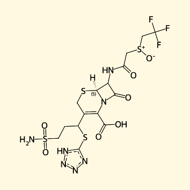 NS(=O)(=O)CCC(Sc1nnn[nH]1)C1=C(C(=O)O)N2C(=O)C(NC(=O)C[S+]([O-])CC(F)(F)F)[C@@H]2SC1